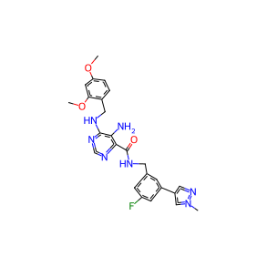 COc1ccc(CNc2ncnc(C(=O)NCc3cc(F)cc(-c4cnn(C)c4)c3)c2N)c(OC)c1